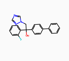 OC(Cn1cncn1)(c1ccc(-c2ccccc2)cc1)c1ccccc1F